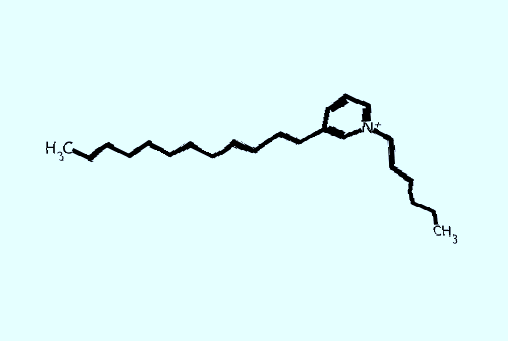 CCCCCCCCCCCCc1ccc[n+](CCCCCC)c1